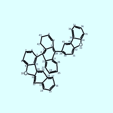 C1=Cc2c(c(-c3cccc4oc5cc6ccccc6cc5c34)c3ccccc3c2-c2ccc3oc4ccccc4c3c2)CC1